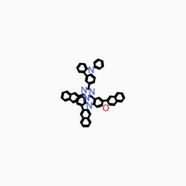 c1ccc(-n2c3ccccc3c3cc(-c4nc(-c5ccc6ccccc6c5)nc(-c5cc6c(cc5-n5c7ccccc7c7cc8ccccc8cc75)oc5cc7ccccc7cc56)n4)ccc32)cc1